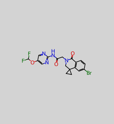 O=C(CN1CC2(CC2)c2cc(Br)ccc2C1=O)Nc1ncc(OC(F)F)cn1